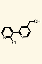 OCc1ccnc(-c2cccnc2Cl)c1